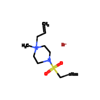 C=CC[N+]1(C)CCN(S(=O)(=O)CCCCCCCCCC)CC1.[Br-]